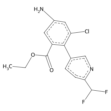 CCOC(=O)c1cc(N)cc(Cl)c1-c1ccc(C(F)F)nc1